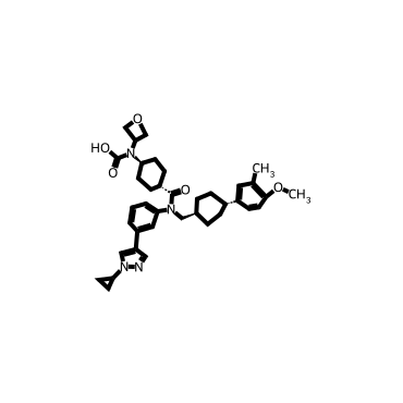 COc1ccc([C@H]2CC[C@H](CN(c3cccc(-c4cnn(C5CC5)c4)c3)C(=O)[C@H]3CC[C@H](N(C(=O)O)C4COC4)CC3)CC2)cc1C